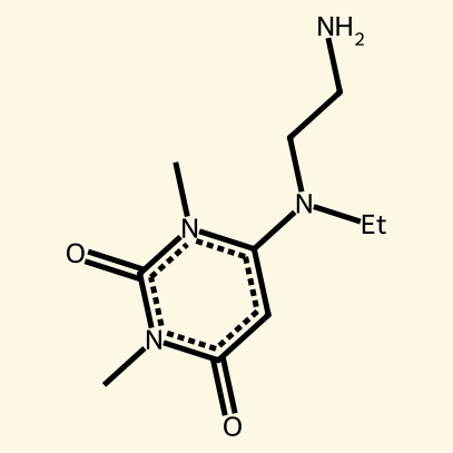 CCN(CCN)c1cc(=O)n(C)c(=O)n1C